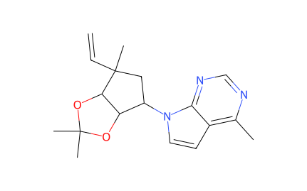 C=CC1(C)CC(n2ccc3c(C)ncnc32)C2OC(C)(C)OC21